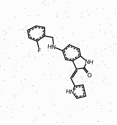 O=C1Nc2ccc(NCc3ccccc3F)cc2C1=Cc1ccc[nH]1